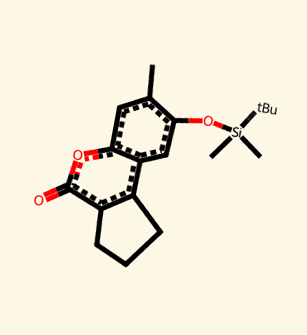 Cc1cc2oc(=O)c3c(c2cc1O[Si](C)(C)C(C)(C)C)CCC3